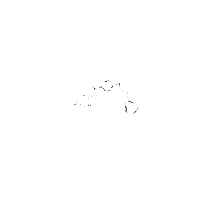 O=C1CCC(N2Cc3cc(C=NC(=O)c4ccc(C(F)(F)F)cc4)ccc3C2=O)C(=O)N1